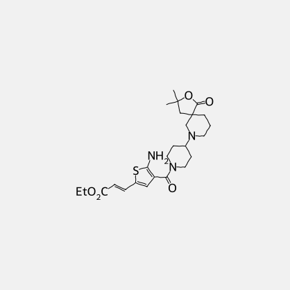 CCOC(=O)/C=C/c1cc(C(=O)N2CCC(N3CCCC4(C3)CC(C)(C)OC4=O)CC2)c(N)s1